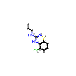 CCCNC1=NSc2cccc(Cl)c2N1